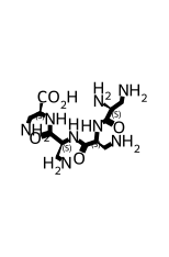 NC[C@H](NC(=O)[C@H](CN)NC(=O)[C@H](CN)NC(=O)[C@@H](N)CN)C(=O)O